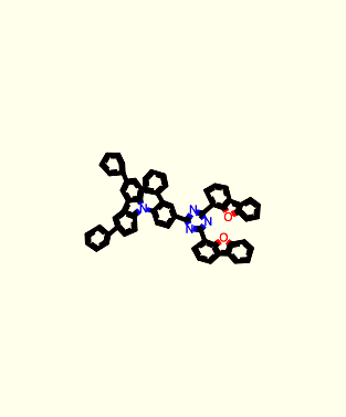 c1ccc(-c2ccc3c(c2)c2cc(-c4ccccc4)ccc2n3-c2ccc(-c3nc(-c4cccc5c4oc4ccccc45)nc(-c4cccc5c4oc4ccccc45)n3)cc2-c2ccccc2)cc1